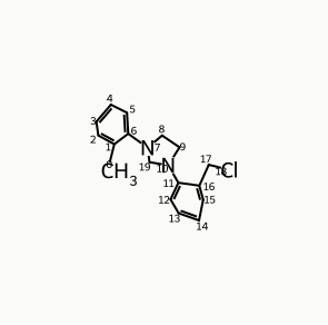 Cc1ccccc1N1CCN(c2ccccc2CCl)C1